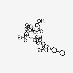 CCC(=O)N1C[C@H](O)C[C@H]1COP(=O)(O)O[C@@H]1C[C@@H](CCOP(=O)(O)O[C@@H]2C[C@@H](COC3CCC(C4CCCCC4)CC3)N(C(=O)CC)C2)N(C(=O)CC)C1